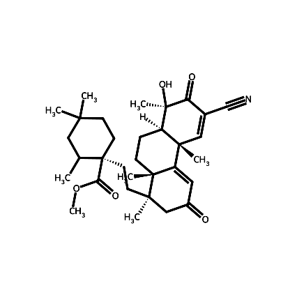 COC(=O)[C@]1(CC[C@]2(C)CC(=O)C=C3[C@@]4(C)C=C(C#N)C(=O)[C@](C)(O)[C@@H]4CC[C@]32C)CCC(C)(C)CC1C